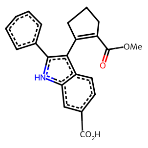 COC(=O)C1=C(c2c(-c3ccccc3)[nH]c3cc(C(=O)O)ccc23)CCC1